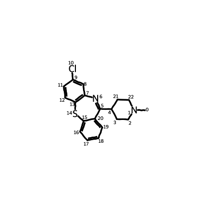 CN1CCC(C2=Nc3cc(Cl)ccc3Sc3ccccc32)CC1